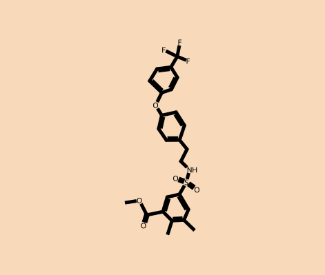 COC(=O)c1cc(S(=O)(=O)NCCc2ccc(Oc3ccc(C(F)(F)F)cc3)cc2)cc(C)c1C